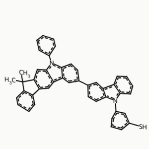 CC1(C)c2ccccc2-c2cc3c4cc(-c5ccc6c(c5)c5ccccc5n6-c5cccc(S)c5)ccc4n(-c4ccccc4)c3cc21